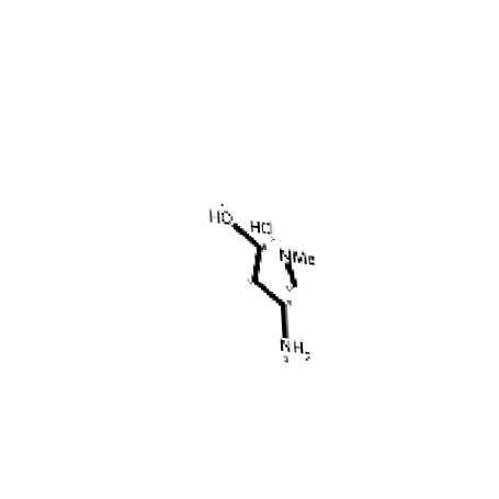 CNC.Cl.NCCCO